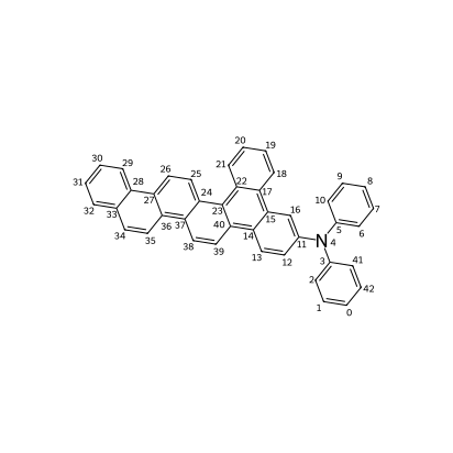 c1ccc(N(c2ccccc2)c2ccc3c(c2)c2ccccc2c2c4ccc5c6ccccc6ccc5c4ccc32)cc1